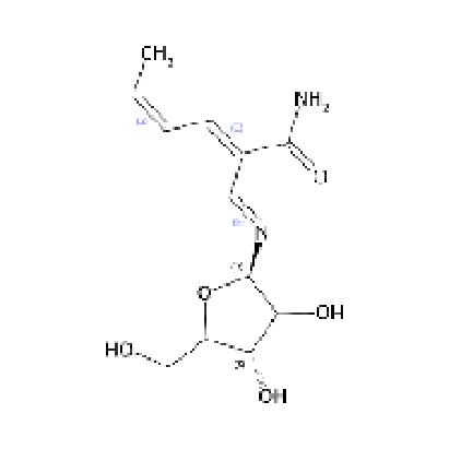 C\C=C/C=C(\C=N\[C@@H]1OC(CO)[C@@H](O)C1O)C(N)=O